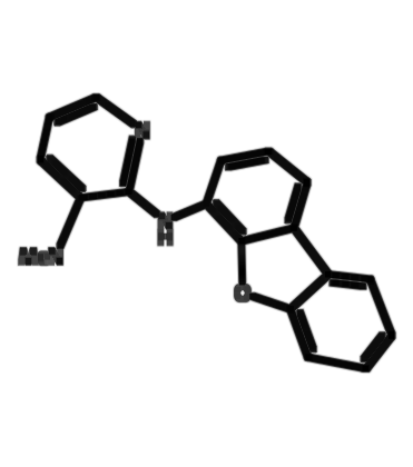 CNc1cccnc1Nc1cccc2c1oc1ccccc12